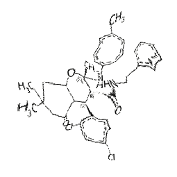 Cc1ccc(N[C@@]2(C)OC3CC(C)(C)CC(=O)C3[C@H](c3ccc(Cl)cc3Cl)[C@H]2C(=O)NCc2ccccc2)cc1